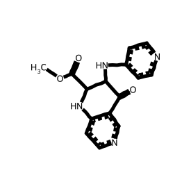 COC(=O)C1Nc2ccncc2C(=O)C1Nc1ccncc1